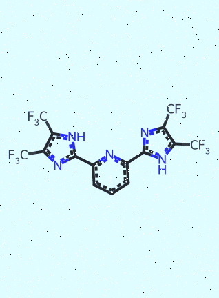 FC(F)(F)c1nc(-c2cccc(-c3nc(C(F)(F)F)c(C(F)(F)F)[nH]3)n2)[nH]c1C(F)(F)F